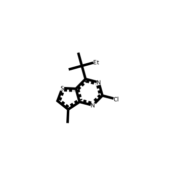 CCC(C)(C)c1nc(Cl)nc2c(C)csc12